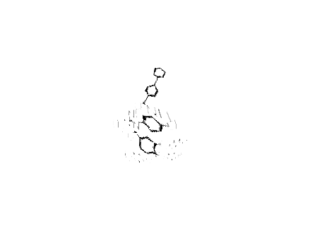 COc1cc(C(=O)N(C(=N)N)c2ccc(Cl)c(NC(=O)c3ccc(-c4ccccc4)cc3)c2)cc(OC)c1OC